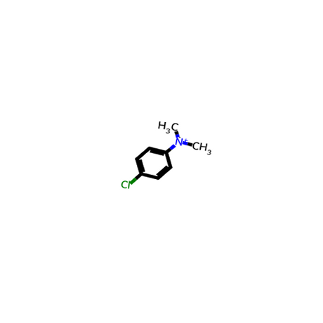 C[N+](C)c1ccc(Cl)cc1